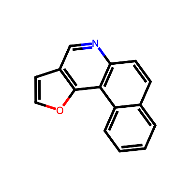 c1ccc2c(c1)ccc1ncc3ccoc3c12